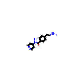 NCCc1ccc(C(=O)Nc2ccncc2)cc1